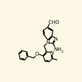 Cc1ccc(OCc2ccccc2)c(Cn2c(N)nc3cc(C=O)ccc32)n1